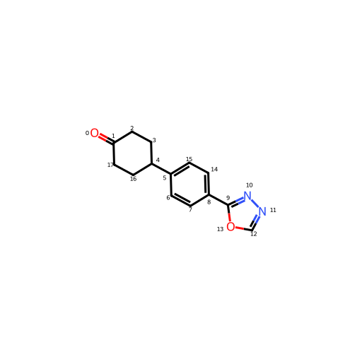 O=C1CCC(c2ccc(-c3nnco3)cc2)CC1